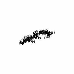 Cn1c(-c2cn(C3CC3(F)F)nc2C(F)(F)F)cnc1C(=O)Nc1ccc(C(=O)NC2CC3CN(C(=O)N[C@H]4CNC[C@@H]4O)CC32)c(Cl)c1